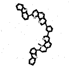 CN1c2c(ccc3cc(-c4cccc(-c5cnc6c(ccc7ccc(-c8cccc9c8sc8ccccc89)nc76)c5)c4)cnc23)C=CC1c1cccc2c1sc1ccccc12